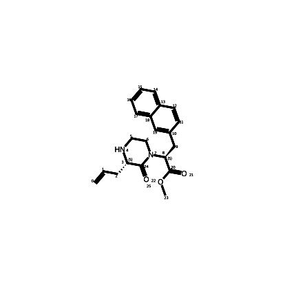 C=CC[C@@H]1NCCN([C@@H](Cc2ccc3ccccc3c2)C(=O)OC)C1=O